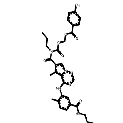 CCCNC(=O)c1ccc(C)c(Nc2ncnn3cc(C(=O)N(CCC)C(=O)OCOC(=O)c4ccc(O)cc4)c(C)c23)c1